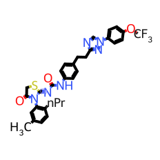 CCCc1ccc(C)cc1N1C(=O)CS/C1=N\C(=O)Nc1ccc(CCc2ncn(-c3ccc(OC(F)(F)F)cc3)n2)cc1